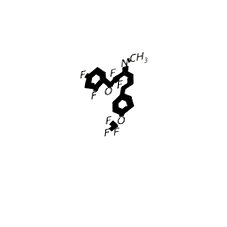 C/N=C(\C=C/Cc1ccc(OC(F)(F)F)cc1)C(F)(F)C(=O)c1ccc(F)cc1F